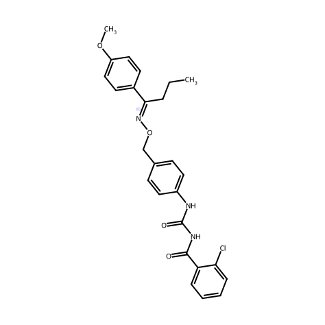 CCC/C(=N\OCc1ccc(NC(=O)NC(=O)c2ccccc2Cl)cc1)c1ccc(OC)cc1